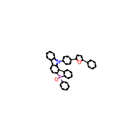 O=P1(c2ccccc2)c2ccccc2-c2c1ccc1c3ccccc3n(-c3ccc(-c4ccc(-c5ccccc5)o4)cc3)c21